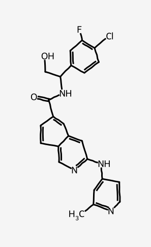 Cc1cc(Nc2cc3cc(C(=O)NC(CO)c4ccc(Cl)c(F)c4)ccc3cn2)ccn1